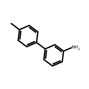 [CH2]c1ccc(-c2cccc(N)c2)cc1